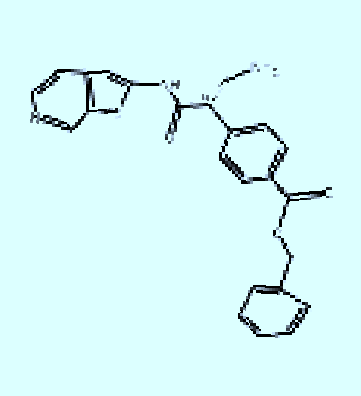 NC[C@@H](C(=O)Nc1cc2ccncc2s1)c1ccc(C(=O)OCc2ccccc2)cc1